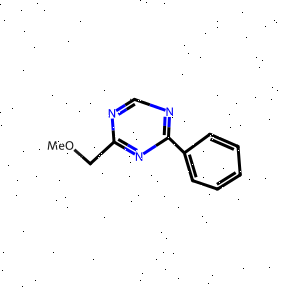 COCc1n[c]nc(-c2ccccc2)n1